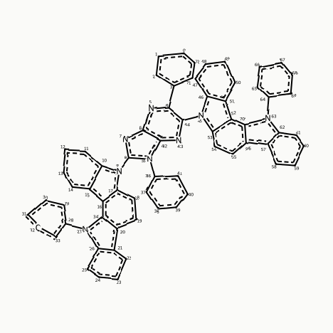 c1ccc(-c2nc3nc(-n4c5ccccc5c5c4ccc4c6ccccc6n(-c6ccccc6)c45)n(-c4ccccc4)c3nc2-n2c3ccccc3c3c2ccc2c4ccccc4n(-c4ccccc4)c23)cc1